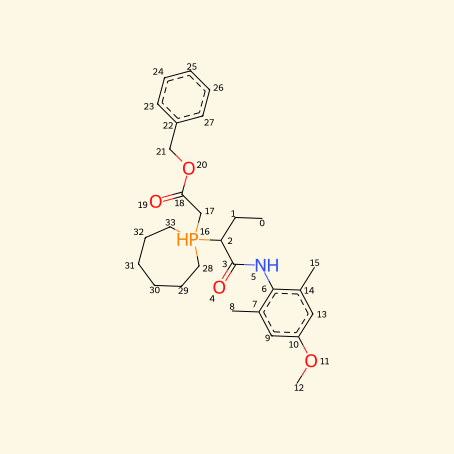 CCC(C(=O)Nc1c(C)cc(OC)cc1C)[PH]1(CC(=O)OCc2ccccc2)CCCCCC1